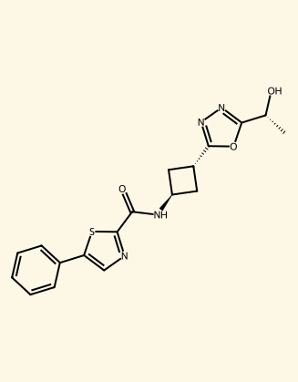 C[C@@H](O)c1nnc([C@H]2C[C@H](NC(=O)c3ncc(-c4ccccc4)s3)C2)o1